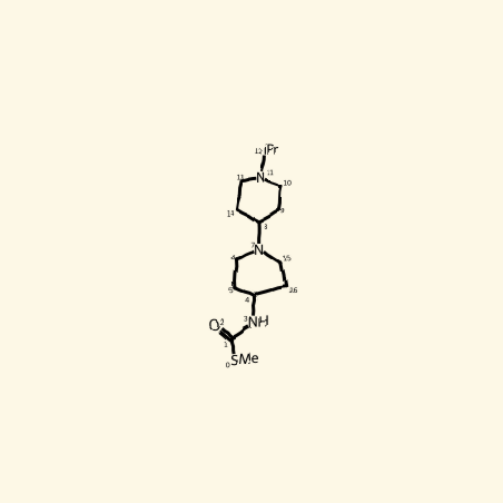 CSC(=O)NC1CCN(C2CCN(C(C)C)CC2)CC1